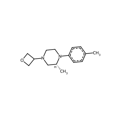 Cc1ccc(N2CCN(C3COC3)C[C@H]2C)cc1